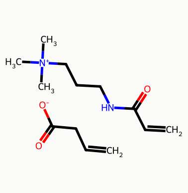 C=CC(=O)NCCC[N+](C)(C)C.C=CCC(=O)[O-]